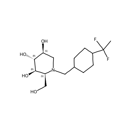 CC(F)(F)C1CCC(CN2C[C@H](O)[C@@H](O)[C@H](O)[C@@H]2CO)CC1